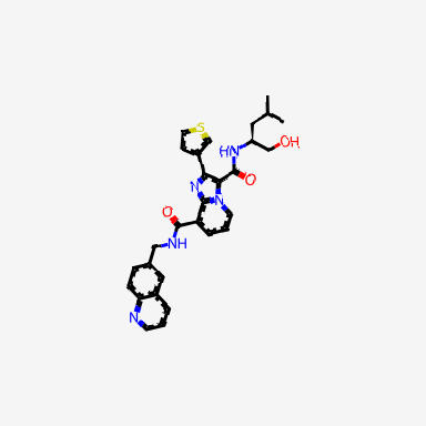 CC(C)C[C@@H](CO)NC(=O)c1c(-c2ccsc2)nc2c(C(=O)NCc3ccc4ncccc4c3)cccn12